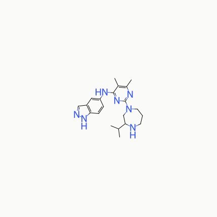 Cc1nc(N2CCCNC(C(C)C)C2)nc(Nc2ccc3[nH]ncc3c2)c1C